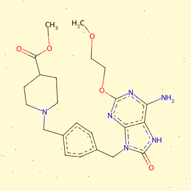 COCCOc1nc(N)c2[nH]c(=O)n(Cc3ccc(CN4CCC(C(=O)OC)CC4)cc3)c2n1